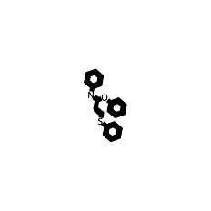 C(=C\C(=N\c1ccccc1)Oc1ccccc1)/Sc1ccccc1